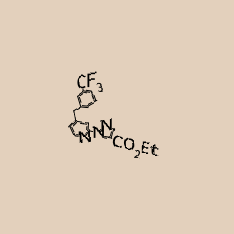 CCOC(=O)c1cnn(-c2cc(Cc3cccc(C(F)(F)F)c3)ccn2)c1